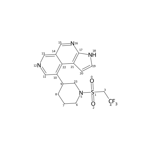 O=S(=O)(CC(F)(F)F)N1CCCC(c2cncc3cnc4[nH]ccc4c23)C1